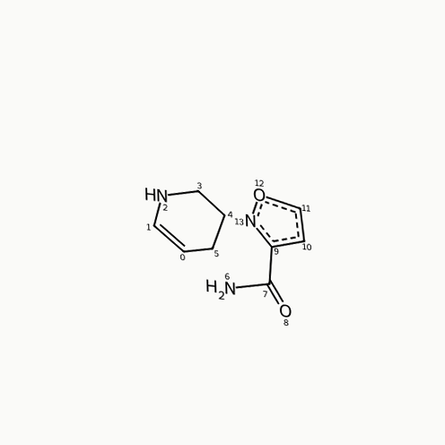 C1=CNCCC1.NC(=O)c1ccon1